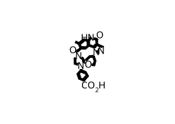 Cc1cc2[nH]c(=O)c3cnn(C4CCOCC4)c3c2cc1C(=O)N1CCN(c2ccc(C(=O)O)cc2)CC1